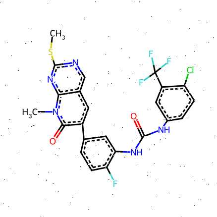 CSc1ncc2cc(-c3ccc(F)c(NC(=O)Nc4ccc(Cl)c(C(F)(F)F)c4)c3)c(=O)n(C)c2n1